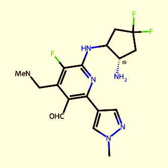 CNCc1c(F)c(NC2CC(F)(F)C[C@@H]2N)nc(-c2cnn(C)c2)c1C=O